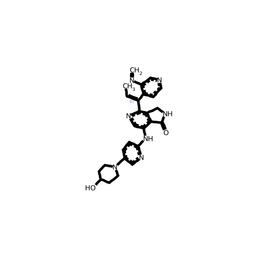 C=Nc1cnccc1/C(=C\C)c1ncc(Nc2ccc(N3CCC(O)CC3)cn2)c2c1CNC2=O